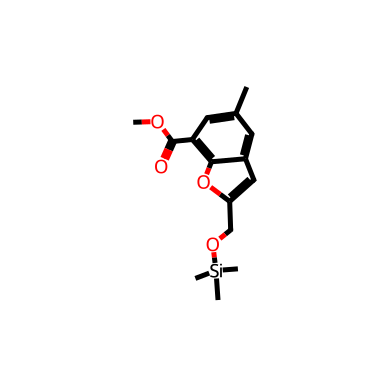 COC(=O)c1cc(C)cc2cc(CO[Si](C)(C)C)oc12